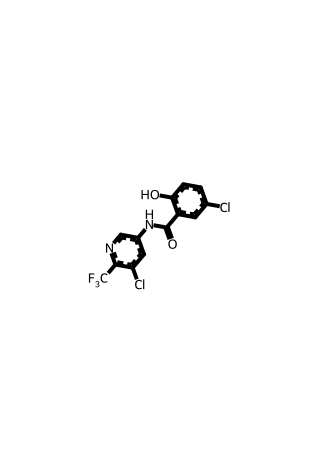 O=C(Nc1cnc(C(F)(F)F)c(Cl)c1)c1cc(Cl)ccc1O